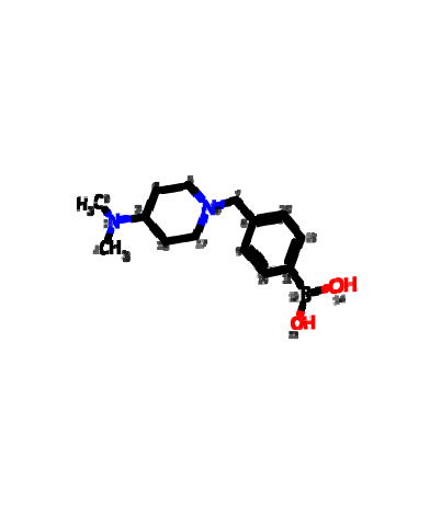 CN(C)C1CCN(Cc2ccc(B(O)O)cc2)CC1